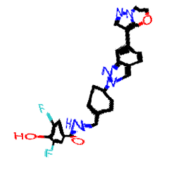 O=C(NCC1CCC(n2cc3ccc(-c4cnn5c4OCC5)cc3n2)CC1)c1cc(F)c(O)c(F)c1